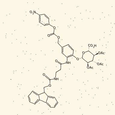 CC(=O)O[C@@H]1[C@@H](OC(C)=O)[C@H](Oc2ccc(COC(=O)Oc3ccc([N+](=O)[O-])cc3)cc2NC(=O)CCNC(=O)OCC2c3ccccc3-c3ccccc32)O[C@H](C(=O)O)[C@H]1OC(C)=O